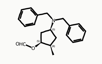 C[C@@H]1C[C@H](N(Cc2ccccc2)Cc2ccccc2)C[C@@H]1OC=O